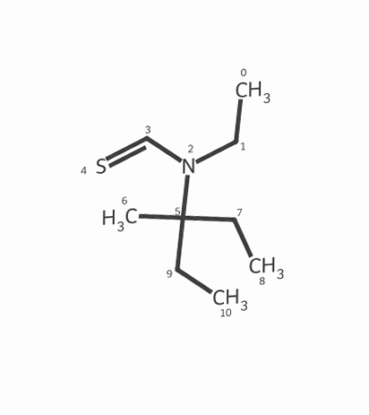 CCN(C=S)C(C)(CC)CC